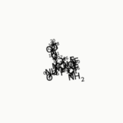 CNC(=O)C1CC1n1nc(C2C3CN(C(=O)OC(C)(C)C)CC32)c2c(C(C)C)nc(-c3cc(N)cc(F)c3OC(F)(F)F)c(F)c21